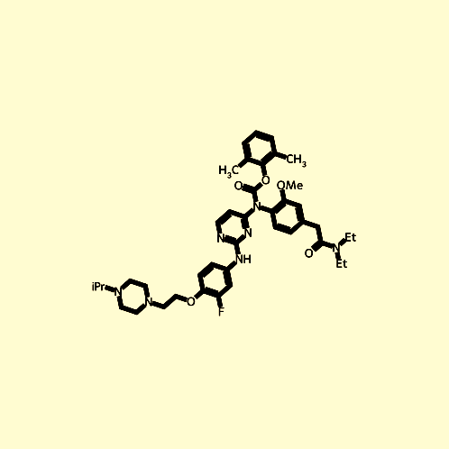 CCN(CC)C(=O)Cc1ccc(N(C(=O)Oc2c(C)cccc2C)c2ccnc(Nc3ccc(OCCN4CCN(C(C)C)CC4)c(F)c3)n2)c(OC)c1